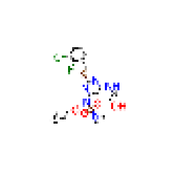 C[C@H](CO)Nc1cc(N(COCC[Si](C)(C)C)S(=O)(=O)N2CCC2)nc(SCc2cccc(Cl)c2F)n1